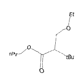 CCCOC(=O)C(COCC)C(C)(C)C